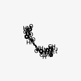 CC[C@@H]1C(=O)N(C)c2cnc(Nc3ccc(C(=O)NCCCCNC(=O)COc4cccc5c4C(=O)N(C4CCC(=O)NC4=O)C5=O)cc3OC)nc2N1C1CCCC1